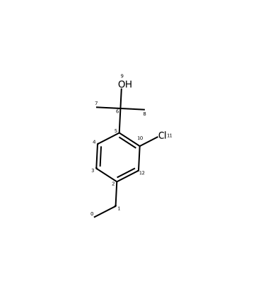 CCc1ccc(C(C)(C)O)c(Cl)c1